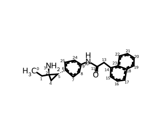 CC[C@@]1(N)C[C@H]1c1ccc(NC(=O)Cc2cccc3ccccc23)cc1